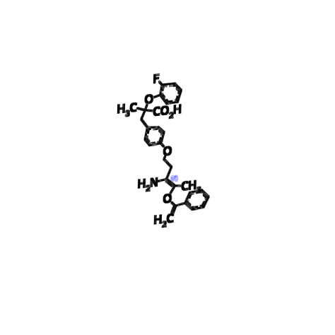 C=C(O/C(C)=C(\N)CCOc1ccc(CC(C)(Oc2ccccc2F)C(=O)O)cc1)c1ccccc1